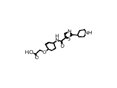 O=C(O)COC1CCC(NC(=O)c2cnc(C3CCNCC3)s2)CC1